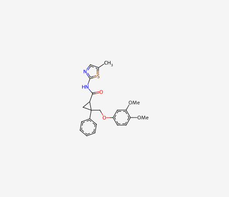 COc1ccc(OCC2(c3ccccc3)CC2C(=O)Nc2ncc(C)s2)cc1OC